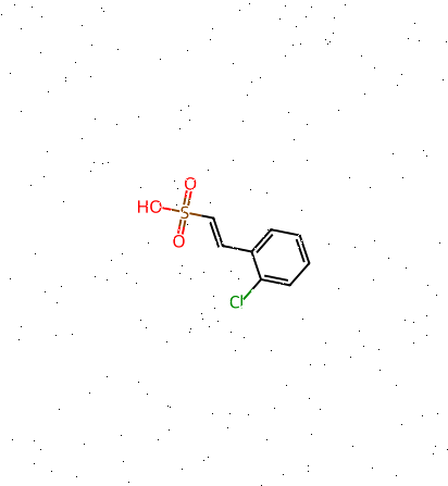 O=S(=O)(O)/C=C/c1ccccc1Cl